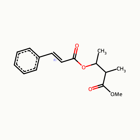 COC(=O)C(C)C(C)OC(=O)/C=C/c1ccccc1